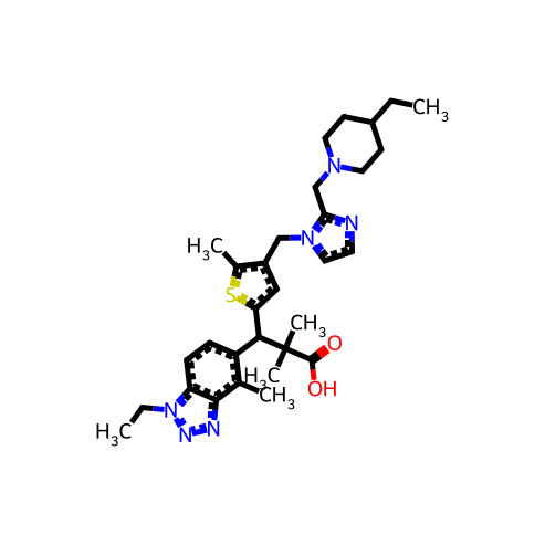 CCC1CCN(Cc2nccn2Cc2cc(C(c3ccc4c(nnn4CC)c3C)C(C)(C)C(=O)O)sc2C)CC1